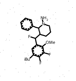 CCC(C)c1cc(C(F)C2CCCN(N)C2c2ccccc2)c(OC)c(F)c1F